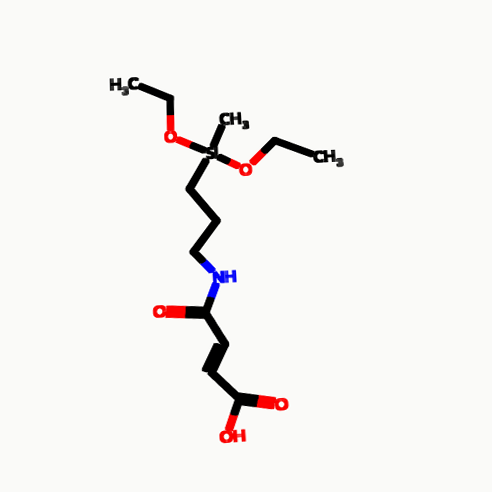 CCO[Si](C)(CCCNC(=O)/C=C/C(=O)O)OCC